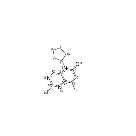 Cc1cc(=O)n(C2CCCC2)c2cnc(I)nc12